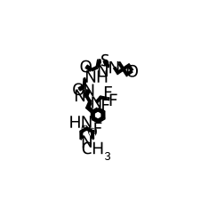 CN1CC[C@@H](Nc2cccc3c2cc(-c2noc(CNC(=O)c4csc(N5CC6(COC6)C5)n4)n2)n3CC(F)(F)F)[C@@H](F)C1